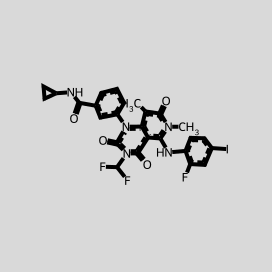 Cc1c(=O)n(C)c(Nc2ccc(I)cc2F)c2c(=O)n(C(F)F)c(=O)n(-c3cccc(C(=O)NC4CC4)c3)c12